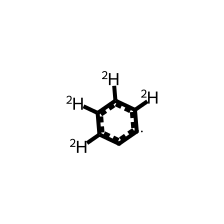 [2H]c1[c]cc([2H])c([2H])c1[2H]